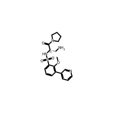 COc1c(-c2cccnc2)cccc1S(=O)(=O)N[C@@H](CN)C(=O)N1CCCC1